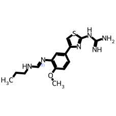 CCCN/C=N/c1cc(-c2csc(NC(=N)N)n2)ccc1OC